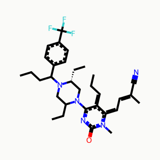 CC\C=c1/c(N2C[C@@H](CC)N(C(CCC)c3ccc(C(F)(F)F)cc3)CC2CC)nc(=O)n(C)/c1=C/C=C(\C)C#N